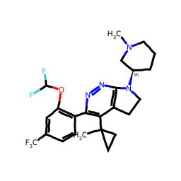 CN1CCC[C@@H](N2CCc3c2nnc(-c2ccc(C(F)(F)F)cc2OC(F)F)c3C2(C)CC2)C1